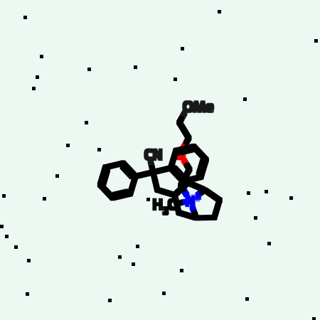 COCCOCC[N+]1(C)C2CCC1CC(CC(C#N)(c1ccccc1)c1ccccc1)C2